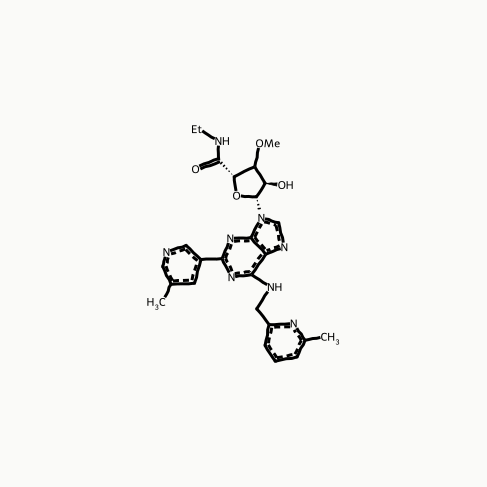 CCNC(=O)[C@H]1O[C@@H](n2cnc3c(NCc4cccc(C)n4)nc(-c4cncc(C)c4)nc32)[C@H](O)C1OC